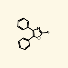 [S]c1nc(-c2ccccc2)c(-c2ccccc2)o1